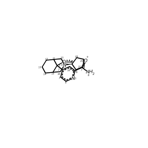 COC1(c2ccnc(C(N)=O)c2)C2CCCC1CN([C@H]1CCOC1)C2